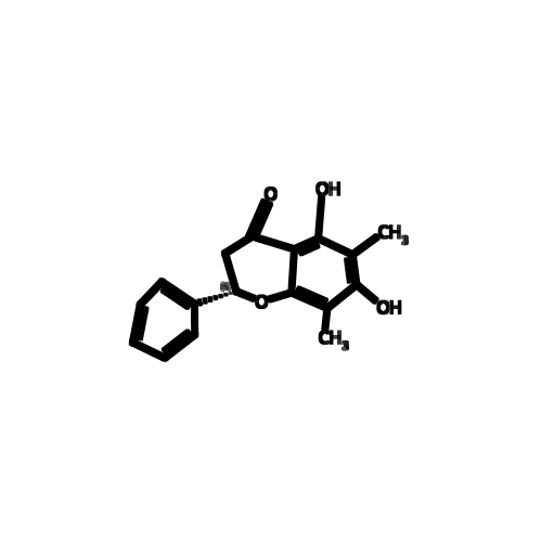 Cc1c(O)c(C)c2c(c1O)C(=O)C[C@@H](c1ccccc1)O2